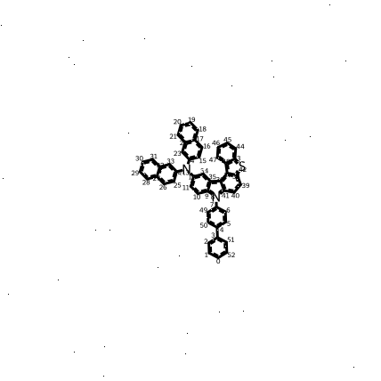 c1ccc(-c2ccc(-n3c4ccc(N(c5ccc6ccccc6c5)c5ccc6ccccc6c5)cc4c4c5c(ccc43)sc3ccccc35)cc2)cc1